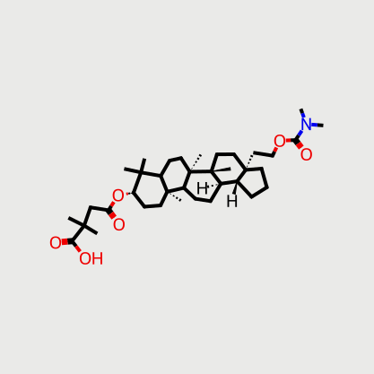 CN(C)C(=O)OCC[C@]12CCC[C@@H]1[C@H]1CCC3[C@@]4(C)CC[C@H](OC(=O)CC(C)(C)C(=O)O)C(C)(C)C4CC[C@@]3(C)[C@]1(C)CC2